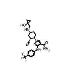 N#C[C@H]1C[C@H](NCC2(O)CC2)CC[C@@H]1n1cc(C(N)=O)c(Nc2ccc(C(F)(F)F)cc2)n1